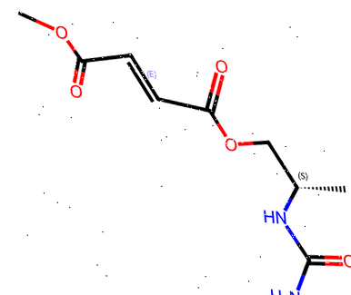 COC(=O)/C=C/C(=O)OC[C@H](C)NC(N)=O